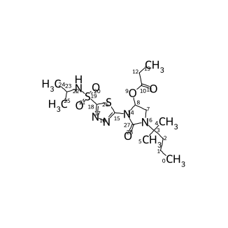 CCCC(C)(C)N1CC(OC(=O)CC)N(c2nnc(S(=O)(=O)NC(C)C)s2)C1=O